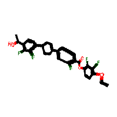 CCOc1ccc(OC(=O)c2ccc(C3=CCC(c4ccc(C(C)O)c(F)c4F)CC3)cc2F)c(F)c1F